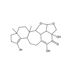 CC(C)C1=C2C3CCC4=C(O)C(=O)C5(O)COC6OC(C4C65)C3(C)CCC2(C)CC1